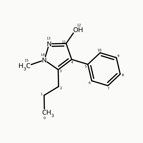 CCCc1c(-c2ccccc2)c(O)nn1C